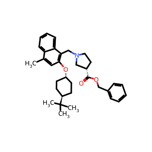 Cc1cc(O[C@H]2CC[C@H](C(C)(C)C)CC2)c(CN2CC[C@H](C(=O)OCc3ccccc3)C2)c2ccccc12